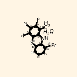 Cc1c(I)c(I)c(I)c2c1Nc1c(cccc1C(C)C)S2.O